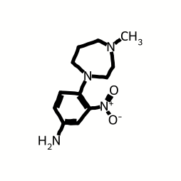 CN1CCCN(c2ccc(N)cc2[N+](=O)[O-])CC1